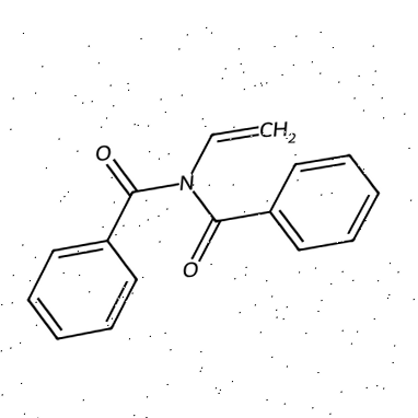 C=CN(C(=O)c1ccccc1)C(=O)c1ccccc1